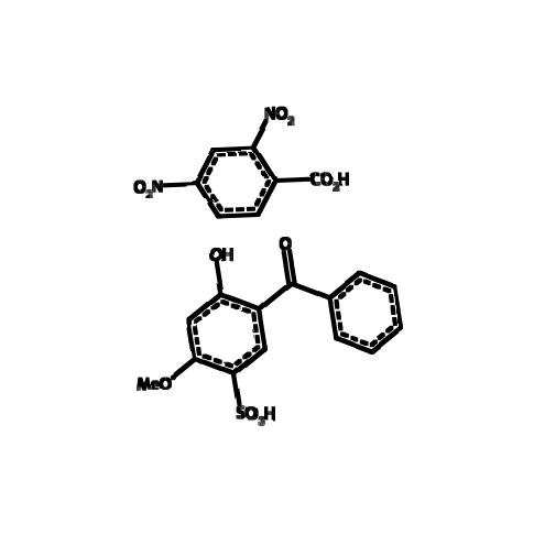 COc1cc(O)c(C(=O)c2ccccc2)cc1S(=O)(=O)O.O=C(O)c1ccc([N+](=O)[O-])cc1[N+](=O)[O-]